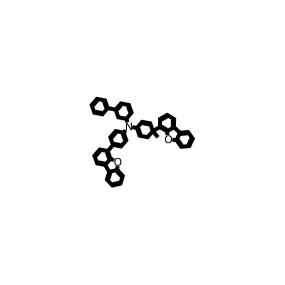 CC1(c2cccc3c2oc2ccccc23)C=CC(N(c2ccc(-c3cccc4c3oc3ccccc34)cc2)C2C=CC=C(c3ccccc3)C2)=CC1